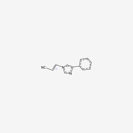 N#C/C=C/n1cnc(-c2ccccc2)c1